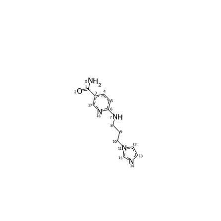 NC(=O)c1ccc(NCCCn2ccnc2)nc1